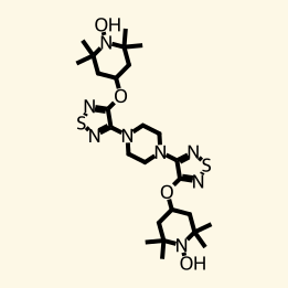 CC1(C)CC(Oc2nsnc2N2CCN(c3nsnc3OC3CC(C)(C)N(O)C(C)(C)C3)CC2)CC(C)(C)N1O